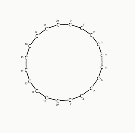 [CH]1CCCCC[CH]CCCCCCCCCCCCC1